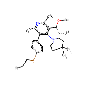 Cc1nc(C)c([C@H](OC(C)(C)C)C(=O)O)c(N2CCC(C)(C)CC2)c1-c1ccc(SCCC(C)C)cc1